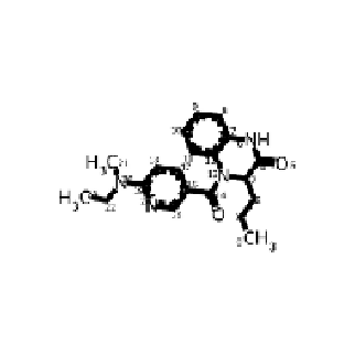 CCCC1C(=O)Nc2ccccc2N1C(=O)c1ccc(N(C)CC)nc1